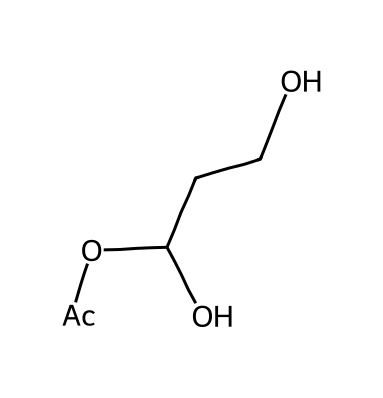 CC(=O)OC(O)CCO